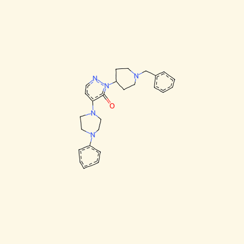 O=c1c(N2CCN(c3ccccc3)CC2)ccnn1C1CCN(Cc2ccccc2)CC1